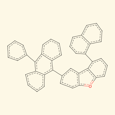 c1ccc(-c2c3ccccc3c(-c3ccc4oc5cccc(-c6cccc7ccccc67)c5c4c3)c3ccccc23)cc1